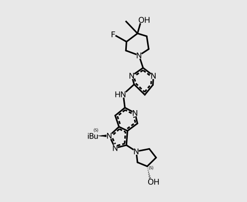 CC[C@H](C)n1nc(N2CC[C@H](O)C2)c2cnc(Nc3ccnc(N4CCC(C)(O)C(F)C4)n3)cc21